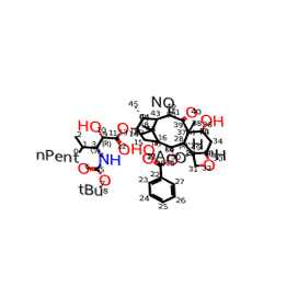 CCCCCC(C)[C@H](NC(=O)OC(C)(C)C)[C@@H](O)C(=O)O[C@H]1C[C@@]2(O)[C@@H](OC(=O)c3ccccc3)[C@@H]3[C@]4(OC(C)=O)CO[C@@H]4C[C@H](O)[C@@]3(C)C(=O)[C@H](N=O)C([C@H]1C)C2(C)C